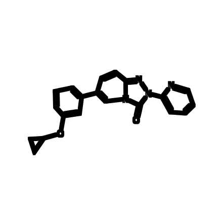 O=c1n(-c2ccccn2)nc2ccc(-c3cccc(OC4CC4)c3)cn12